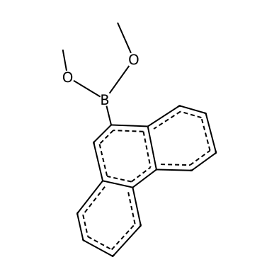 COB(OC)c1cc2ccccc2c2ccccc12